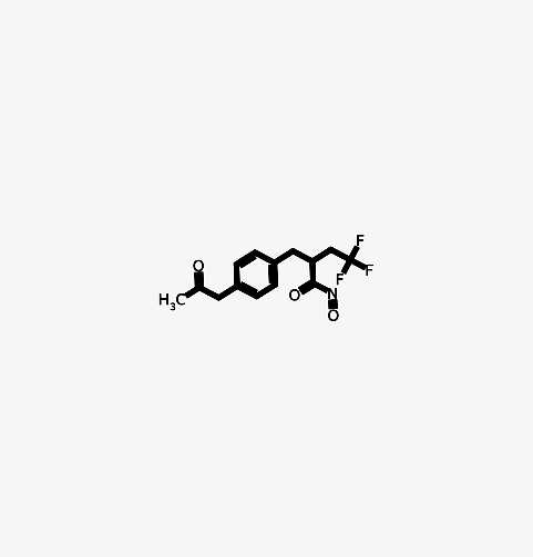 CC(=O)Cc1ccc(CC(CC(F)(F)F)C(=O)N=O)cc1